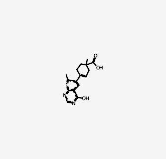 Cc1cc2ncnc(O)c2cc1C1=CCC(C)(C(=O)O)CC1